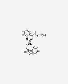 OCCNc1cc(N2CCS(O)(O)c3ccccc3C2)nc2ccncc12